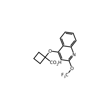 O=C(O)C1(Oc2cc(OC(F)(F)F)nc3ccccc23)CCC1